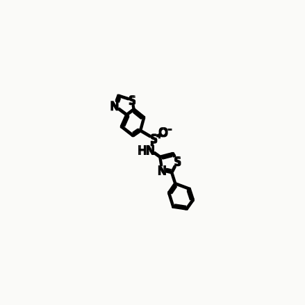 [O-][S+](Nc1csc(-c2ccccc2)n1)c1ccc2ncsc2c1